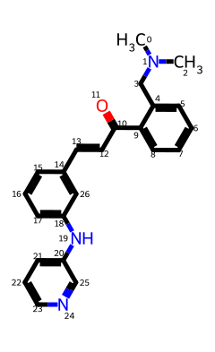 CN(C)Cc1ccccc1C(=O)C=Cc1cccc(Nc2cccnc2)c1